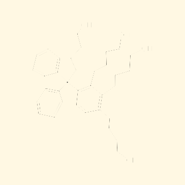 OCCCCc1ccc(C(CCCCO)(c2ccccc2)c2ccccc2)c(CCCCO)c1CCCCO